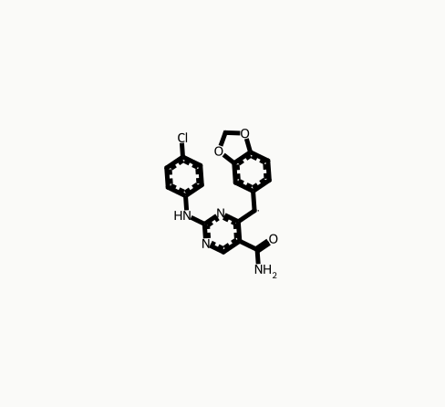 NC(=O)c1cnc(Nc2ccc(Cl)cc2)nc1[CH]c1ccc2c(c1)OCO2